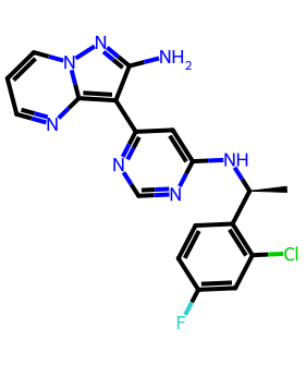 C[C@H](Nc1cc(-c2c(N)nn3cccnc23)ncn1)c1ccc(F)cc1Cl